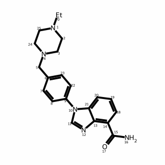 CCN1CCN(Cc2ccc(-n3cnc4c(C(N)=O)cccc43)cc2)CC1